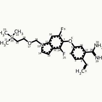 C=Cc1ccc(Oc2c(F)cc3c(ccn3COCC[Si](C)(C)C)c2F)cc1C(=N)N